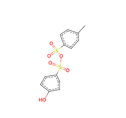 Cc1ccc(S(=O)(=O)OS(=O)(=O)c2ccc(O)cc2)cc1